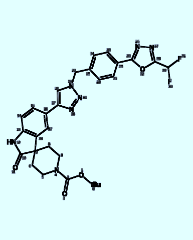 CC(C)(C)OC(=O)N1CCC2(CC1)C(=O)Nc1ccc(-c3cn(Cc4ccc(-c5nnc(C(F)F)o5)cc4)nn3)cc12